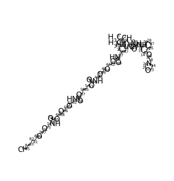 CC(C)(C)C(=N)/C=C(/NC(=O)Nc1ccc(OCCN2CCOCC2)c2ccccc12)Nc1cccc(CNC(=O)OCCOCCOCCNC(=O)OC/C=C/COC(=O)NCCOCCOCCOC(=O)NCCOCCOCCCCCCCl)c1